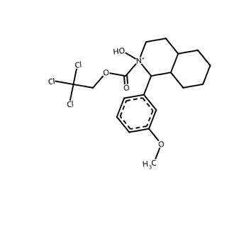 COc1cccc(C2C3CCCCC3CC[N+]2(O)C(=O)OCC(Cl)(Cl)Cl)c1